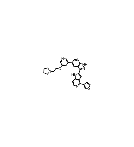 c1cc2[nH]c(-c3n[nH]c4ncc(-c5cncc(OCCN6CCCC6)c5)cc34)cc2c(-c2ccsc2)n1